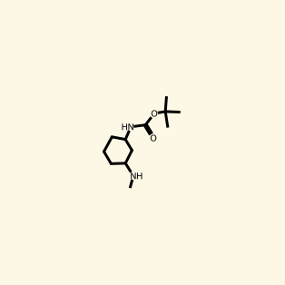 CNC1CCCC(NC(=O)OC(C)(C)C)C1